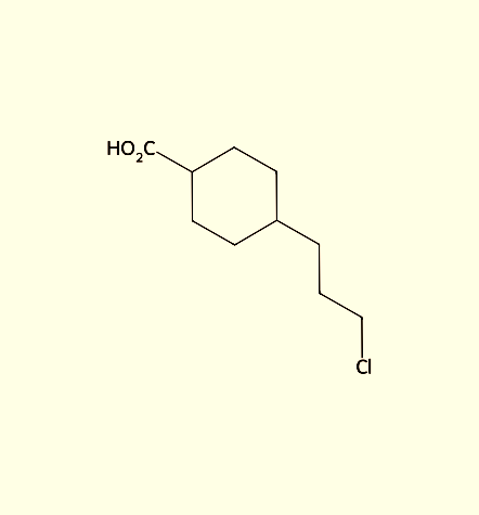 O=C(O)C1CCC(CCCCl)CC1